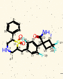 C[C@@H]1NC[C@@H](c2ccccc2)S(=O)(=O)C1Cc1cc(F)c(C2(C(N)=O)CC(F)(F)C2)cc1F